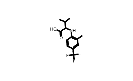 Cc1cc(C(F)(F)F)ccc1NC(C(=O)O)C(C)C